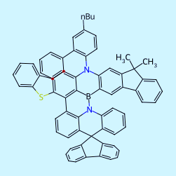 CCCCc1ccc(N2c3cc4c(cc3B3c5c2cc2c(sc6ccccc62)c5-c2cccc5c2N3c2ccccc2C52c3ccccc3-c3ccccc32)-c2ccccc2C4(C)C)c(-c2ccccc2)c1